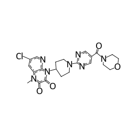 Cn1c(=O)c(=O)n(C2CCN(c3ncc(C(=O)N4CCOCC4)cn3)CC2)c2ncc(Cl)cc21